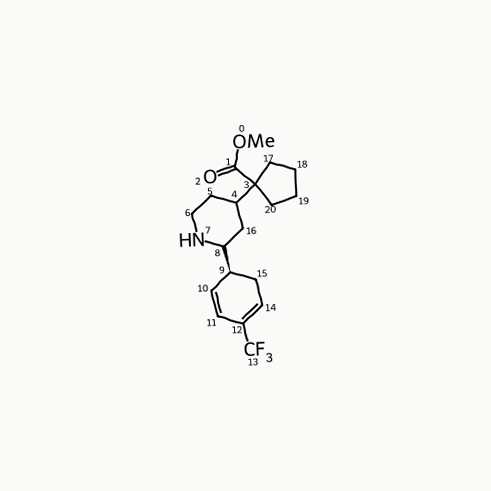 COC(=O)C1(C2CCNC([C@@H]3C=CC(C(F)(F)F)=CC3)C2)CCCC1